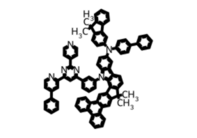 CC1(C)c2ccccc2-c2cc(N(c3ccc(-c4ccccc4)cc3)c3ccc4c(c3)c3ccc5c(c3n4-c3cccc(-c4cc(-c6cc(-c7ccccc7)ccn6)nc(-c6ccncc6)n4)c3)-c3cc4c6ccccc6c6ccccc6c4cc3C5(C)C)ccc21